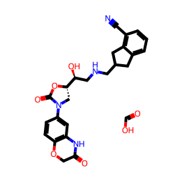 N#Cc1cccc2c1CC(CNC[C@H](O)[C@@H]1CN(c3ccc4c(c3)NC(=O)CO4)C(=O)O1)C2.O=CO